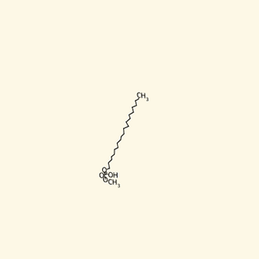 CCCCCCCCCCCCCCCCCCCCCCOP(=O)(O)OC